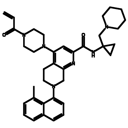 C=CC(=O)N1CCN(c2cc(C(=O)NC3(CN4CCCCC4)CC3)nc3c2CCN(c2cccc4cccc(C)c24)C3)CC1